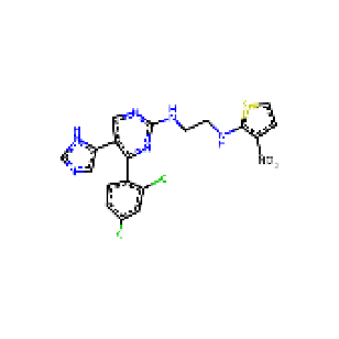 O=[N+]([O-])c1ccsc1NCCNc1ncc(-c2cnc[nH]2)c(-c2ccc(Cl)cc2Cl)n1